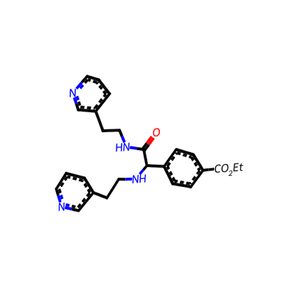 CCOC(=O)c1ccc(C(NCCc2cccnc2)C(=O)NCCc2cccnc2)cc1